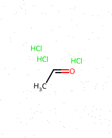 CC=O.Cl.Cl.Cl